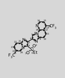 CCS(=O)(=O)c1c(-c2cn3c(ccc4c(C(F)(F)F)ccnc43)n2)nc2ccc(C(F)(F)F)cn12